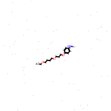 CC(=O)COCCCCOCCCOc1ccc(NI)cc1